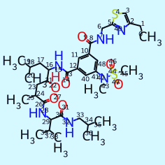 CCc1csc(CNC(=O)c2cc(C(=O)NC(CC(C)C)C(O)CC(C)C(=O)NC(C(=O)NCC(C)C)C(C)C)cc(N(C)S(C)(=O)=O)c2)n1